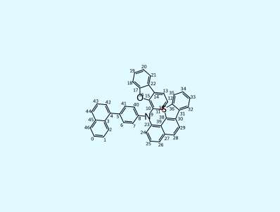 c1ccc2c(-c3ccc(N(c4cccc5c4oc4ccccc45)c4cccc5ccc6c7ccccc7sc6c45)cc3)cccc2c1